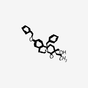 CCC[C@]1(CO)CC[C@@]2(Cc3ccccc3)c3ccc(OCc4ccccc4)cc3CCN2C1=O